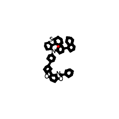 C1=CC(N(c2ccc(-c3ccc4oc5ccc6oc(-c7ccccc7)nc6c5c4c3)cc2)c2ccc(-c3cccc4ccccc34)cc2)=C2c3ccccc3SC2C1